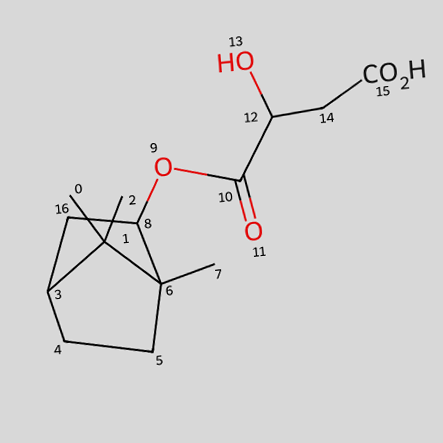 CC1(C)C2CCC1(C)C(OC(=O)C(O)CC(=O)O)C2